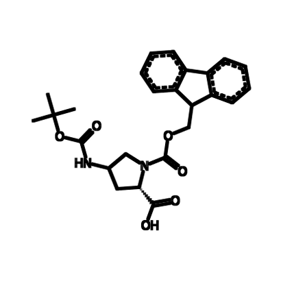 CC(C)(C)OC(=O)NC1C[C@@H](C(=O)O)N(C(=O)OCC2c3ccccc3-c3ccccc32)C1